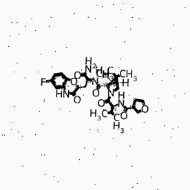 CC(C)[C@H](NC(=O)[C@H]1CCOC1)C(=O)N1C[C@H]2[C@@H]([C@H]1C(=O)N(C)[C@@H](C[C@@H]1Oc3ccc(F)cc3NC1=O)C(N)=O)C2(C)C